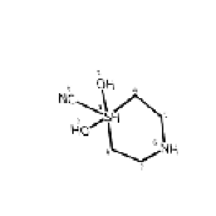 N#C[SH]1(O)(O)CCNCC1